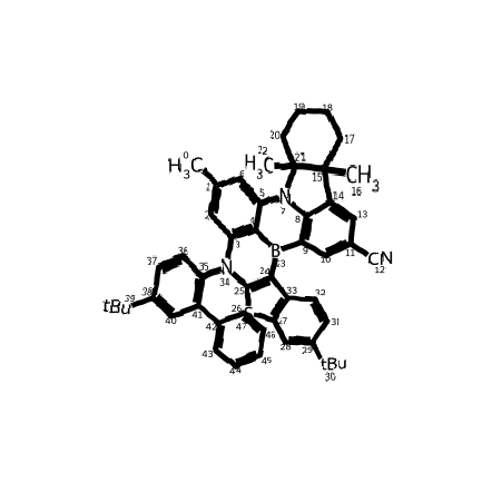 Cc1cc2c3c(c1)N1c4c(cc(C#N)cc4C4(C)CCCCC14C)B3c1c(sc3cc(C(C)(C)C)ccc13)N2c1ccc(C(C)(C)C)cc1-c1ccccc1